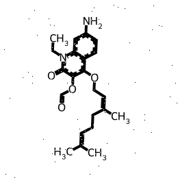 CCn1c(=O)c(OC=O)c(OCC=C(C)CCC=C(C)C)c2ccc(N)cc21